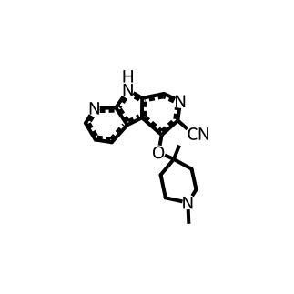 CN1CCC(C)(Oc2c(C#N)ncc3[nH]c4ncccc4c23)CC1